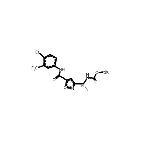 CCc1ccc(NC(=O)c2cc([C@@H](C)NC(=O)OC(C)(C)C)no2)cc1C(F)(F)F